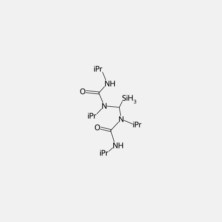 CC(C)NC(=O)N(C(C)C)C([SiH3])N(C(=O)NC(C)C)C(C)C